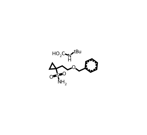 CC(C)(C)NC(=O)O.NS(=O)(=O)C1(CCOCc2ccccc2)CC1